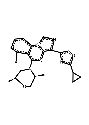 C[C@H]1CN(c2nc3c(-c4noc(C5CC5)n4)ncn3c3cccc(F)c23)[C@@H](C)CO1